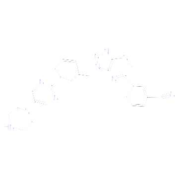 N#Cc1cccc(-c2cnc3nnn(Cc4cccc(-c5ncc(N6CCNCC6)cn5)c4)c3n2)c1